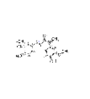 COc1cc(/C=C/C(=O)N(C)c2ccc(O)c(OC)c2)ccc1O